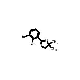 Cc1c(Br)cccc1C1=NC(C)(C)CO1